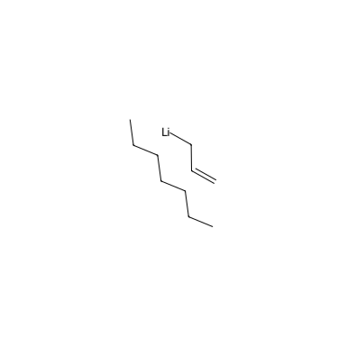 CCCCCCC.[Li][CH2]C=C